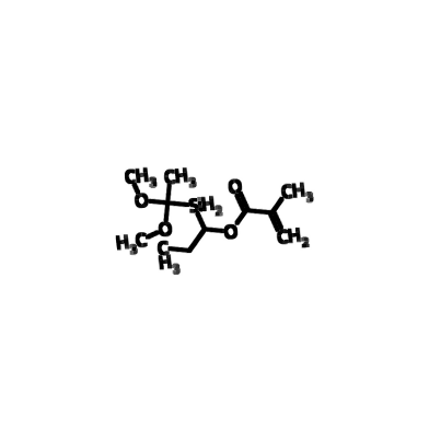 C=C(C)C(=O)OC(CC)[SiH2]C(C)(OC)OC